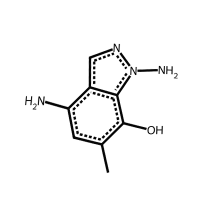 Cc1cc(N)c2cnn(N)c2c1O